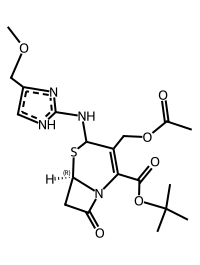 COCc1c[nH]c(NC2S[C@@H]3CC(=O)N3C(C(=O)OC(C)(C)C)=C2COC(C)=O)n1